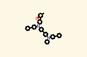 CC1C=c2c(oc3cc(N(c4ccc(-c5ccccc5)cc4)c4ccc(-c5ccc(N(c6ccccc6)c6ccc(-c7ccccc7)cc6)cc5)cc4)ccc23)=CC1